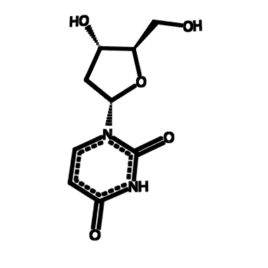 O=c1ccn([C@@H]2C[C@H](O)[C@@H](CO)O2)c(=O)[nH]1